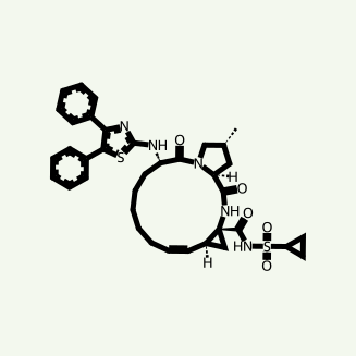 C[C@@H]1C[C@H]2C(=O)N[C@]3(C(=O)NS(=O)(=O)C4CC4)C[C@H]3/C=C\CCCCC[C@H](Nc3nc(-c4ccccc4)c(-c4ccccc4)s3)C(=O)N2C1